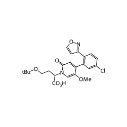 COc1cn(C(CCOC(C)(C)C)C(=O)O)c(=O)cc1-c1cc(Cl)ccc1-c1ccon1